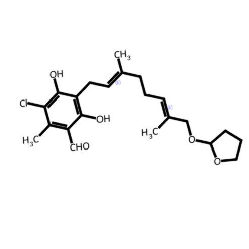 C/C(=C\Cc1c(O)c(Cl)c(C)c(C=O)c1O)CC/C=C(\C)COC1CCCO1